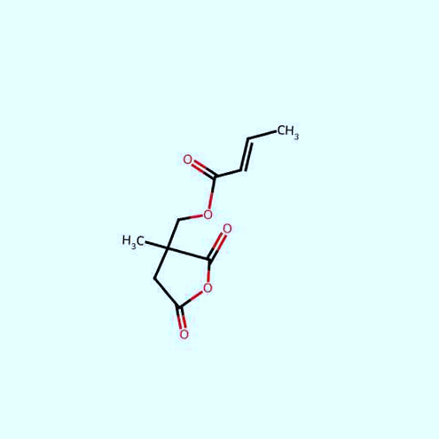 CC=CC(=O)OCC1(C)CC(=O)OC1=O